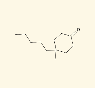 CCCCCC1(C)CCC(=O)CC1